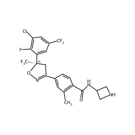 Cc1cc(C2=NO[C@](c3cc(C(F)(F)F)cc(Cl)c3F)(C(F)(F)F)C2)ccc1C(=O)NC1CNC1